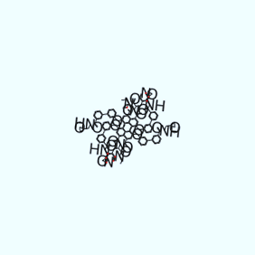 CCN(CC)C(=O)C(Cc1ccncc1)N1C(=O)c2cc(Oc3cccc(-c4cccc(C(=O)NCC5CO5)c4)c3)c3c4c(Oc5cccc(-c6cccc(C(=O)NCC7CO7)c6)c5)cc5c6c(cc(Oc7cccc(-c8cccc(C(=O)NCC9CO9)c8)c7)c(c7c(Oc8cccc(-c9cccc(C(=O)NCC%10CO%10)c9)c8)cc(c2c37)C1=O)c64)C(=O)N(C(Cc1ccncc1)C(=O)N(CC)CC)C5=O